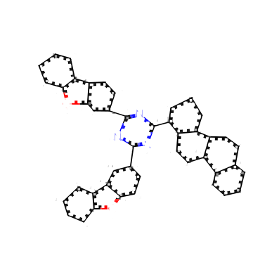 c1ccc2c(c1)ccc1c3cccc(-c4nc(-c5ccc6c(c5)oc5ccccc56)nc(-c5ccc6oc7ccccc7c6c5)n4)c3ccc21